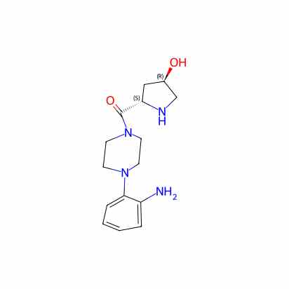 Nc1ccccc1N1CCN(C(=O)[C@@H]2C[C@@H](O)CN2)CC1